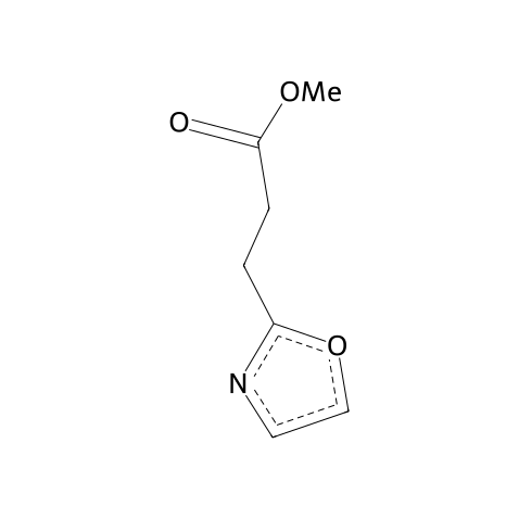 COC(=O)CCc1ncco1